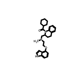 CN(CCOc1cccc2[nH]ccc12)CC1CCc2ccccc2N1C(=O)C1CCCCC1